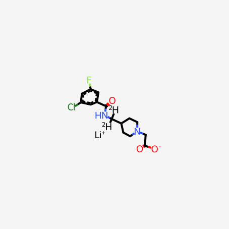 [2H]C([2H])(NC(=O)c1cc(F)cc(Cl)c1)C1CCN(CC(=O)[O-])CC1.[Li+]